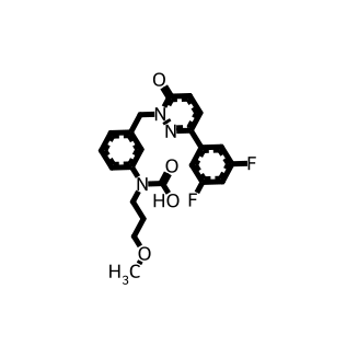 COCCCN(C(=O)O)c1cccc(Cn2nc(-c3cc(F)cc(F)c3)ccc2=O)c1